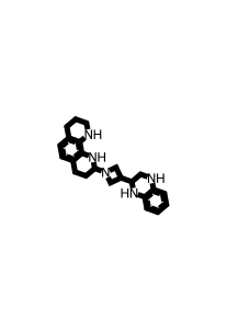 c1ccc2c(c1)NCC(C1CN(C3CCc4ccc5c(c4N3)NCCC5)C1)N2